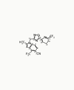 Cc1cc2c(C(F)(F)F)c(C#N)ccc2n1Cc1noc(C2=CCCC(C(F)(F)F)=N2)n1